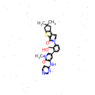 Cn1cc(-c2cccc(-n3ccc4c5c(sc4c3=O)CC(C)(C)C5)c2CO)cc(Nc2ccncn2)c1=O